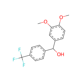 COc1ccc(C(O)c2ccc(C(F)(F)F)cc2)cc1OC